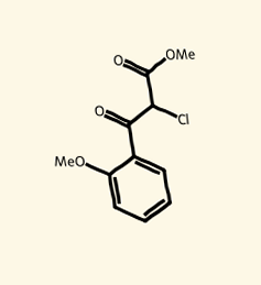 COC(=O)C(Cl)C(=O)c1ccccc1OC